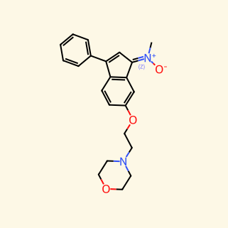 C/[N+]([O-])=C1\C=C(c2ccccc2)c2ccc(OCCN3CCOCC3)cc21